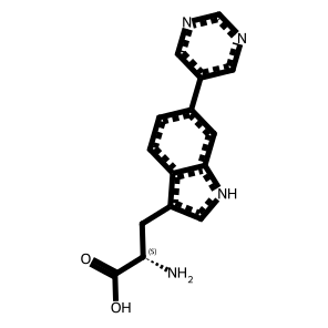 N[C@@H](Cc1c[nH]c2cc(-c3cncnc3)ccc12)C(=O)O